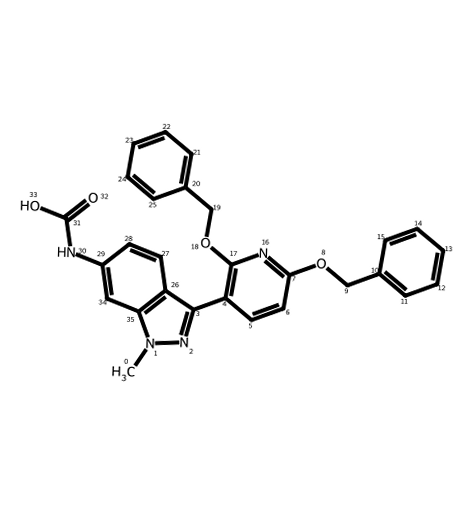 Cn1nc(-c2ccc(OCc3ccccc3)nc2OCc2ccccc2)c2ccc(NC(=O)O)cc21